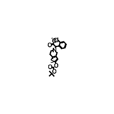 COC(=O)C(c1ccccc1Cl)N1CCc2sc(OC(=O)OC(C)(C)C)cc2C1